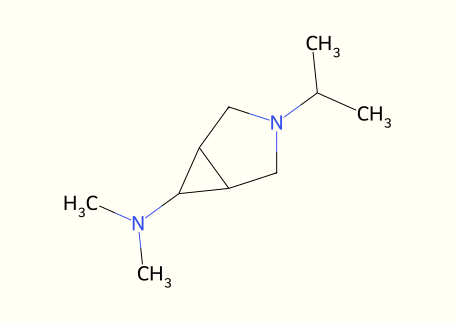 CC(C)N1CC2C(C1)C2N(C)C